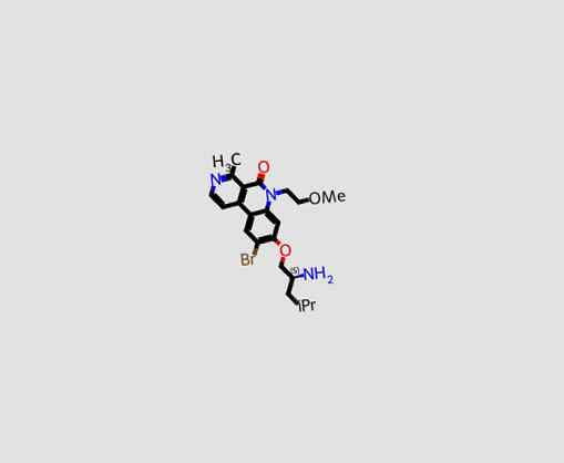 COCCn1c(=O)c2c(C)nccc2c2cc(Br)c(OC[C@@H](N)CC(C)C)cc21